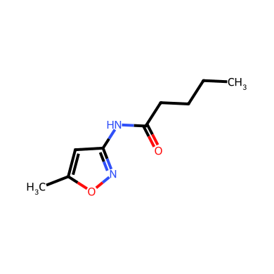 CCCCC(=O)Nc1cc(C)on1